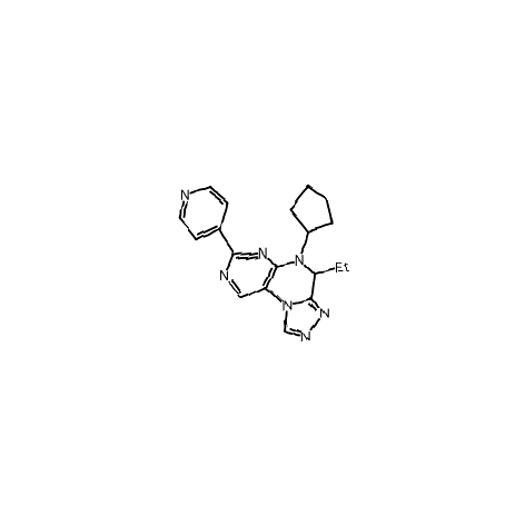 CCC1c2nncn2-c2cnc(-c3ccncc3)nc2N1C1CCCC1